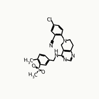 Cc1ccc(CNc2ncnc3c2CN(c2ccc(Cl)cc2C#N)CC3)cc1S(C)(=O)=O